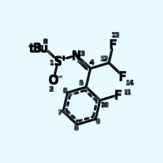 CC(C)(C)[S+]([O-])/N=C(\c1ccccc1F)C(F)F